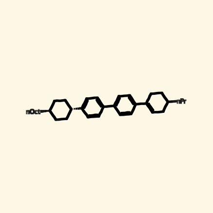 CCCCCCCC[C@H]1CC[C@H](c2ccc(-c3ccc(C4=CCC(CCC)CC4)cc3)cc2)CC1